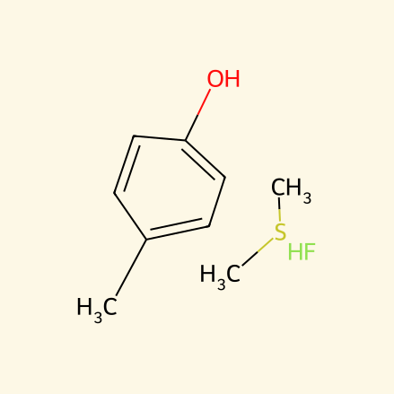 CSC.Cc1ccc(O)cc1.F